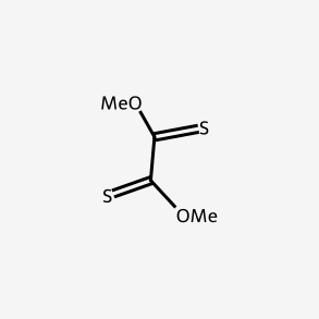 COC(=S)C(=S)OC